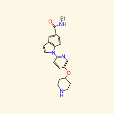 CCNC(=O)c1ccc2c(ccn2-c2ccc(OC3CCNCC3)cn2)c1